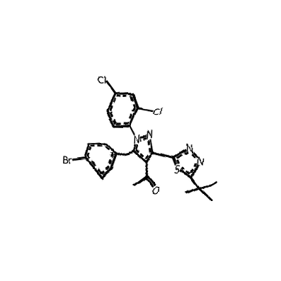 CC(=O)c1c(-c2nnc(C(C)(C)C)s2)nn(-c2ccc(Cl)cc2Cl)c1-c1ccc(Br)cc1